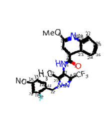 COc1cc(C(=O)Nc2c(C(F)(F)F)nn(Cc3ccc(C#N)cc3F)c2C)c2ccccc2n1